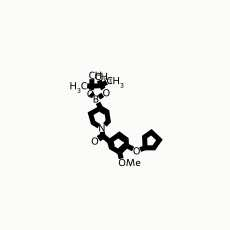 COc1cc(C(=O)N2CC=C(B3OC(C)(C)C(C)(C)O3)CC2)ccc1OC1CCCC1